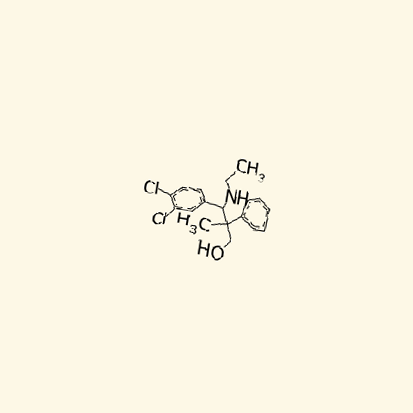 CCNC(c1ccc(Cl)c(Cl)c1)C(C)(CO)c1ccccc1